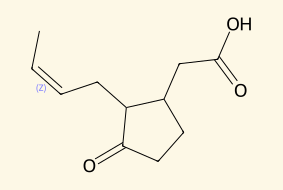 C/C=C\CC1C(=O)CCC1CC(=O)O